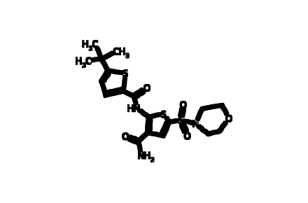 CC(C)(C)c1ccc(C(=O)Nc2sc(S(=O)(=O)N3CCOCC3)cc2C(N)=O)s1